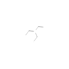 ClCP(CCl)CCl